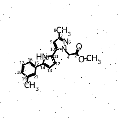 COC(=O)Cn1nc(C)cc1-c1ccc(-c2cccc(C)c2)[nH]1